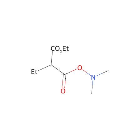 CCOC(=O)C(CC)C(=O)ON(C)C